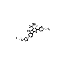 CO[C@H]1CCN(c2ccc3c(c2)[nH]c2c(C(N)=O)cc(-c4ccc(C)nc4)nc23)C1